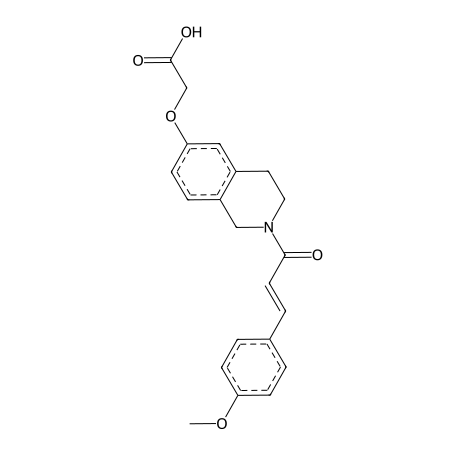 COc1ccc(C=CC(=O)N2CCc3cc(OCC(=O)O)ccc3C2)cc1